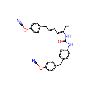 C=C/C(=C\C=C\Cc1ccc(OC#N)cc1)NC(=O)Nc1ccc(Cc2ccc(OC#N)cc2)cc1